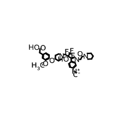 [C-]#[N+]c1ccc2c(C(O)(CN3CCC(Oc4ccc(CC(=O)O)cc4OC)CC3)C(F)(F)F)cn(CC(=O)N3CCCCC3)c2c1